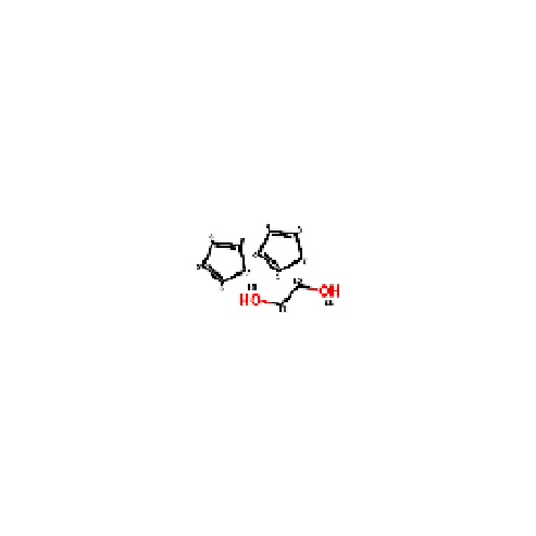 C1=CCC=C1.C1=CCC=C1.OCCO